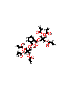 C=CC(=O)OCC(COC(=O)C=C)(COC(=O)C=C)COC(=O)C1CCCCC1C(=O)OCC(COC(=O)C=C)(COC(=O)C=C)COC(=O)C=C